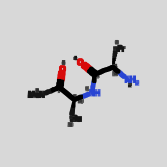 CCC[C@H](N)C(=O)N[C@H](C(=O)NC)C(C)(C)C